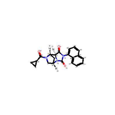 O=C1[C@@H]2[C@@H]3C[C@@H](CN3C(=O)C3CC3)N2C(=O)N1c1cccc2ccccc12